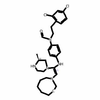 C[C@H]1CN(/C(=C\N2CCCCCCC2)Nc2ccc(N(C=O)CCc3ccc(Cl)cc3Cl)cc2)CCN1